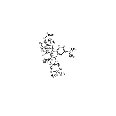 C=C(C)c1ccc([C@H]2C[C@@]3(C)[C@@H](CC[C@@]3(O)COC)[C@@H]3CC[C@@]4(O)CC5(CCC4=C32)OCC(C)(C)CO5)cc1